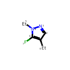 CCc1cnn(CC)c1F